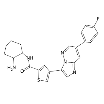 NC1CCCCC1NC(=O)c1cc(-c2cnc3cc(-c4ccc(F)cc4)cnn23)cs1